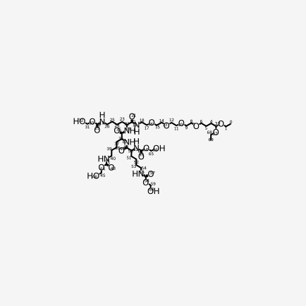 CCOC(CCCOCCOCCOCCOCCNC(=O)C(CCCCNC(=O)OCO)NC(=O)C(CCCCNC(=O)OCO)NC(=O)C(CCCCNC(=O)OCO)NC(=O)OCO)OCC